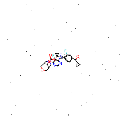 CC1(OC(=O)N2CC3COCC(C2)C3Oc2ncnc(Nc3ccc(C(=O)C4CC4)cc3F)c2F)CC1